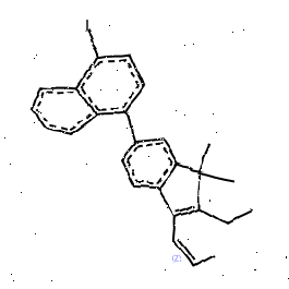 C/C=C\C1=C(CC)C(C)(C)c2cc(-c3ccc(I)c4ccccc34)ccc21